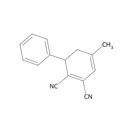 CC1=CC(C#N)=C(C#N)C(c2ccccc2)C1